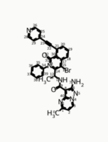 Cc1ccn2nc(N)c(C(=O)N[C@@H](C)c3c(Br)c4cccc(C#Cc5ccncc5)c4c(=O)n3-c3ccccc3)c2n1